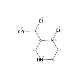 [CH2]CN1CCNCC1C(CC)CCC